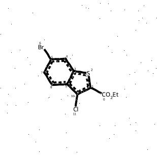 CCOC(=O)c1sc2cc(Br)ccc2c1Cl